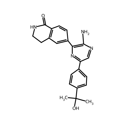 CC(C)(O)c1ccc(-c2cnc(N)c(-c3ccc4c(c3)CCNC4=O)n2)cc1